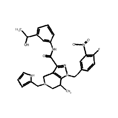 CC(O)c1cccc(NC(=O)c2nn(Cc3ccc(F)c([N+](=O)[O-])c3)c3c2CN(Cc2ccc[nH]2)CC3C)c1